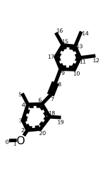 COc1cc(C)c(C#Cc2cc(C)c(C)c(C)c2)c(C)c1